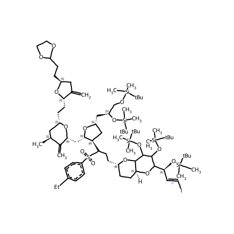 C=C1C[C@H](CCC2OCCO2)O[C@H]1CC[C@H]1C[C@H](C)C(=C)[C@@H](C[C@@H]2O[C@H](C[C@@H](CO[Si](C)(C)C(C)(C)C)O[Si](C)(C)C(C)(C)C)C[C@H]2C(CC[C@H]2CC[C@@H]3OC([C@H](/C=C/I)O[Si](C)(C)C(C)(C)C)C(O[Si](C)(C)C(C)(C)C)C(O[Si](C)(C)C(C)(C)C)C3O2)S(=O)(=O)c2ccc(CC)cc2)O1